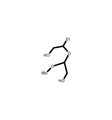 CCC(CO)OC(CO)OC(C)(C)C